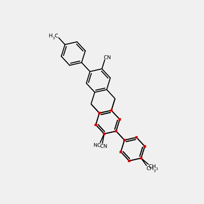 Cc1ccc(-c2cc3c(cc2C#N)C2c4cc(-c5ccc(C)cc5)c(C#N)cc4C3c3cc(C#N)c(-c4ccc(C)cc4)cc32)cc1